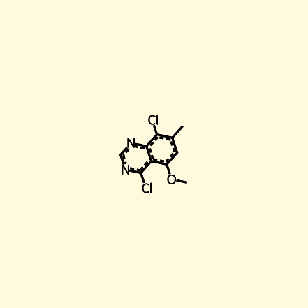 COc1cc(C)c(Cl)c2ncnc(Cl)c12